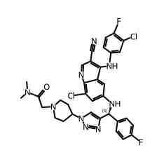 CN(C)C(=O)CN1CCC(n2cc([C@@H](Nc3cc(Cl)c4ncc(C#N)c(Nc5ccc(F)c(Cl)c5)c4c3)c3ccc(F)cc3)nn2)CC1